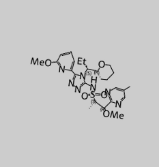 CC[C@@H]([C@H]1CCCCO1)n1c(NS(=O)(=O)[C@@H](C)[C@H](OC)c2ncc(C)cn2)nnc1-c1cccc(OC)n1